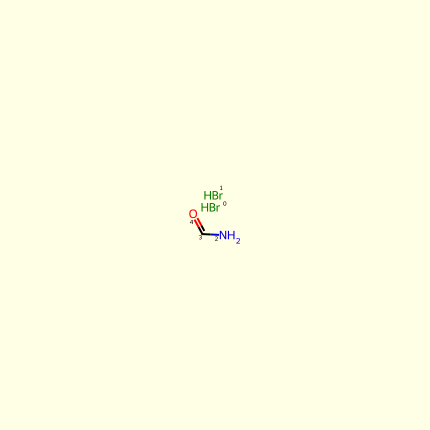 Br.Br.NC=O